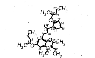 CCCC(C)Oc1cc(CCC(=O)c2ccccc2OC(C)CCC)c(OC(C)CCC)c(OC)c1